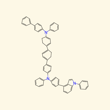 C1=C(C2=CC=C(N(c3ccccc3)c3ccc(-c4ccccc4)cc3)CC2)CCC(c2ccc(N(c3ccccc3)c3ccc(-c4cccc5c4ccn5-c4ccccc4)cc3)cc2)=C1